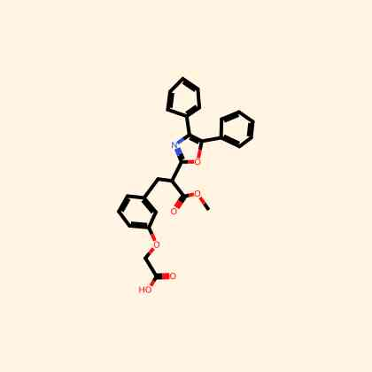 COC(=O)C(Cc1cccc(OCC(=O)O)c1)c1nc(-c2ccccc2)c(-c2ccccc2)o1